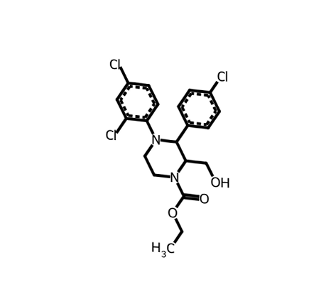 CCOC(=O)N1CCN(c2ccc(Cl)cc2Cl)C(c2ccc(Cl)cc2)C1CO